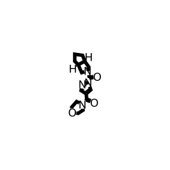 O=C(c1cnn(C(=O)N2C[C@H]3CCC[C@H]3C2)c1)N1CCOCC1